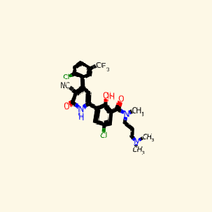 CN(C)CCCN(C)C(=O)c1cc(Cl)cc(-c2cc(-c3cc(C(F)(F)F)ccc3Cl)c(C#N)c(=O)[nH]2)c1O